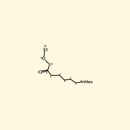 CCCCCCCCCCCC(=O)SOCC